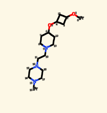 CC(C)OC1CC(OC2CCN(CCN3CCN(C(C)C)CC3)CC2)C1